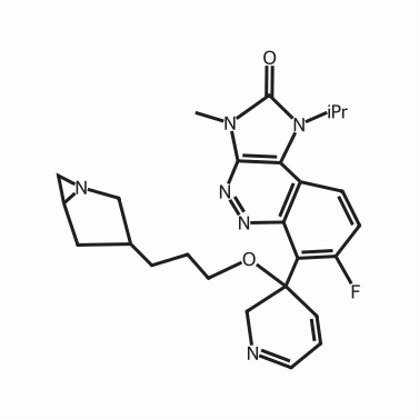 CC(C)n1c(=O)n(C)c2nnc3c(C4(OCCCC5CC6CN6C5)C=CC=NC4)c(F)ccc3c21